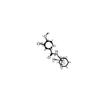 COc1cnc(C(=O)N[C@@H]2CC3CCN(CC3)C2)cc1Cl